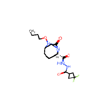 CCCCON1C(=O)N2CC1CC[C@H]2C(=O)NNC(=O)C1CC(F)(F)C1